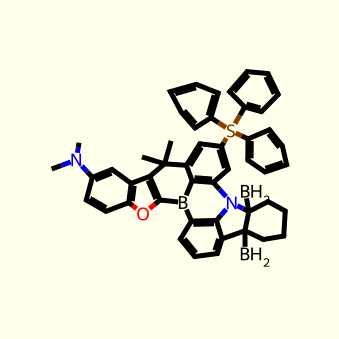 BC12CCCCC1(B)N1c3cc(S(c4ccccc4)(c4ccccc4)c4ccccc4)cc4c3B(c3cccc2c31)c1oc2ccc(N(C)C)cc2c1C4(C)C